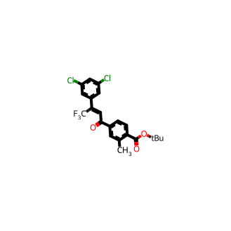 Cc1cc(C(=O)/C=C(/c2cc(Cl)cc(Cl)c2)C(F)(F)F)ccc1C(=O)OC(C)(C)C